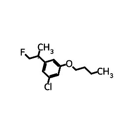 CCCCOc1cc(Cl)cc([C](C)CF)c1